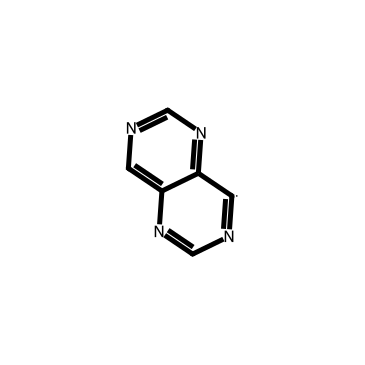 [c]1ncnc2cncnc12